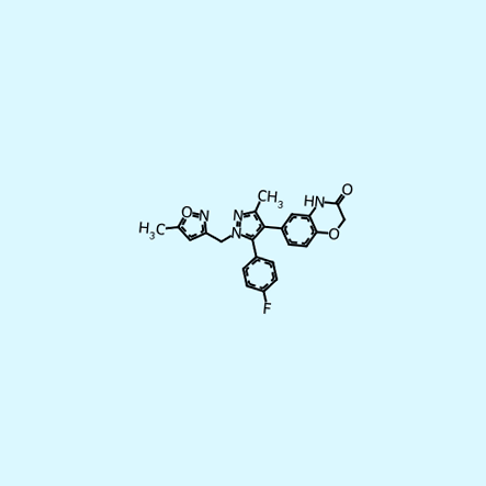 Cc1cc(Cn2nc(C)c(-c3ccc4c(c3)NC(=O)CO4)c2-c2ccc(F)cc2)no1